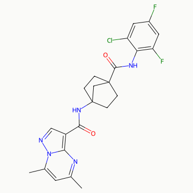 Cc1cc(C)n2ncc(C(=O)NC34CCC(C(=O)Nc5c(F)cc(F)cc5Cl)(CC3)C4)c2n1